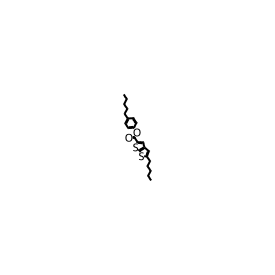 CCCCCc1ccc(OC(=O)c2cc3cc(CCCCC)sc3s2)cc1